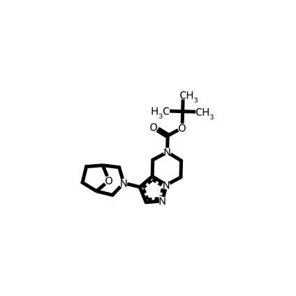 CC(C)(C)OC(=O)N1CCn2ncc(N3CC4CCC(C3)O4)c2C1